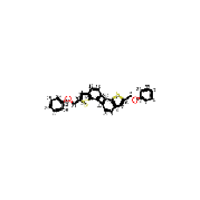 c1ccc(OCc2cc3ccc4c(c3s2)-c2ccc3cc(COc5ccccc5)sc3c2-4)cc1